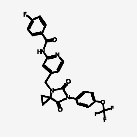 O=C(Nc1cc(CN2C(=O)N(c3ccc(OC(F)(F)F)cc3)C(=O)C23CC3)ccn1)c1ccc(F)cc1